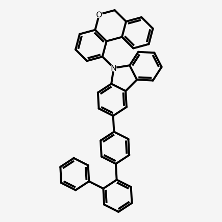 c1ccc(-c2ccccc2-c2ccc(-c3ccc4c(c3)c3ccccc3n4-c3cccc4c3-c3ccccc3CO4)cc2)cc1